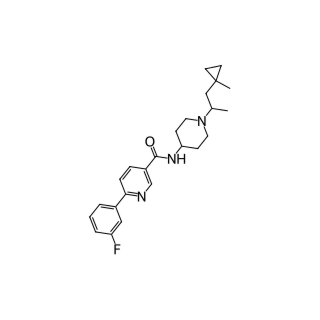 CC(CC1(C)CC1)N1CCC(NC(=O)c2ccc(-c3cccc(F)c3)nc2)CC1